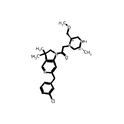 COC[C@H]1CN[C@H](C)CN1CC(=O)N1CC(C)(C)c2cnc(Cc3cccc(Cl)c3)cc21